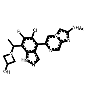 CC(=O)Nc1cn2cc(-c3c(Cl)c(F)c(C(C)N4CC(O)C4)c4[nH]ncc34)ncc2n1